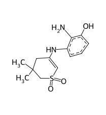 CC1(C)CC(Nc2cccc(O)c2N)=CS(=O)(=O)C1